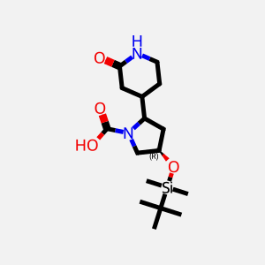 CC(C)(C)[Si](C)(C)O[C@@H]1CC(C2CCNC(=O)C2)N(C(=O)O)C1